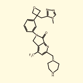 Cn1cnnc1CC1(c2cccc(N3Cc4c(C(F)(F)F)cc(CN5CCNCC5)nc4C3=O)c2)COC1